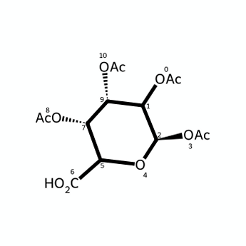 CC(=O)OC1[C@@H](OC(C)=O)OC(C(=O)O)[C@H](OC(C)=O)[C@@H]1OC(C)=O